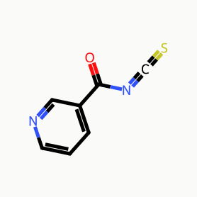 O=C(N=C=S)c1cccnc1